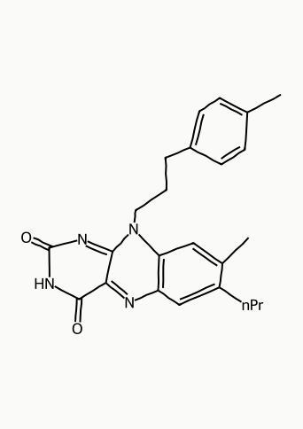 CCCc1cc2nc3c(=O)[nH]c(=O)nc-3n(CCCc3ccc(C)cc3)c2cc1C